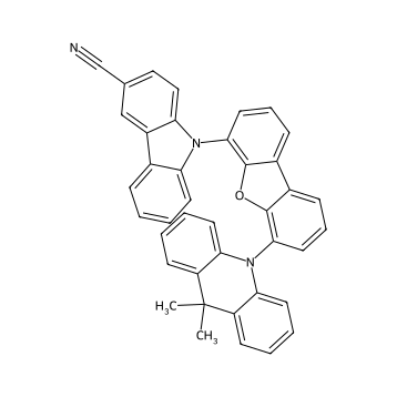 CC1(C)c2ccccc2N(c2cccc3c2oc2c(-n4c5ccccc5c5cc(C#N)ccc54)cccc23)c2ccccc21